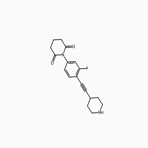 O=C1CCCC(=O)N1c1ccc(C#CC2CCNCC2)c(F)c1